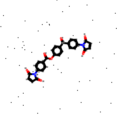 O=C(Oc1cc[c]([Co](=[O])[c]2ccc(N3C(=O)C=CC3=O)cc2)cc1)c1ccc(N2C(=O)C=CC2=O)cc1